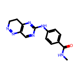 CNC(=O)c1ccc(Nc2ncc3c(n2)CCN=N3)cc1